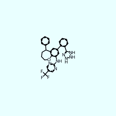 FC(F)(F)c1cnc(Nc2cc(-c3ccccc3C3=NNNN3)cc3c2OCCCC3c2ccccc2)nc1